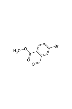 COC(=O)c1ccc(Br)cc1C=O